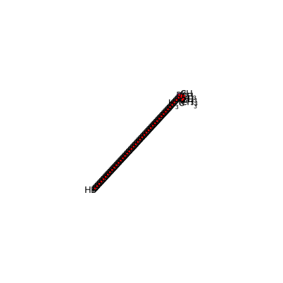 B#P(B=BB=BB=BB=BB=BB=BB=BB=BB=BB=BB=BB=BB=BB=BB=BB=BB=BB=BB=BB=BB=BB=BB=BB=BB=BB=BB=BB=BB=BB=BB=BB=BB=BB=BB=BB=BB=BB=BB=BB=B)C(C)(CC(C)C)CC(C)CC(C)C